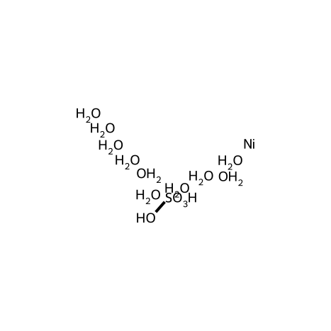 O.O.O.O.O.O.O.O.O.O.O=S(=O)(O)O.[Ni]